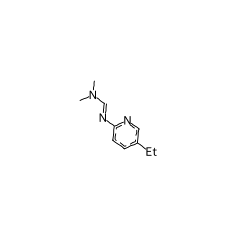 CCc1ccc(/N=C/N(C)C)nc1